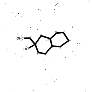 O=[C]CC1(O)CCC2CCCCC2C1